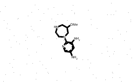 COC1CNCCN(c2ncc(N)cc2N)C1